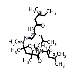 CC[C@H](C)CC(=O)N[C@@H](/C=N/N(C)C(C)(C)CC(C)(C)C(=O)NC(C)CC(C)C)CC(C)C